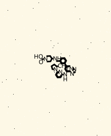 CC1CCCN1c1cccc(Nc2cc(-c3cccc(CNC4CCN(C(=O)O)CC4)c3)cn3ncnc23)n1